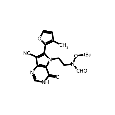 Cc1ccoc1-c1c(C#N)c2nc[nH]c(=O)c2n1CCN(C=O)OC(C)(C)C